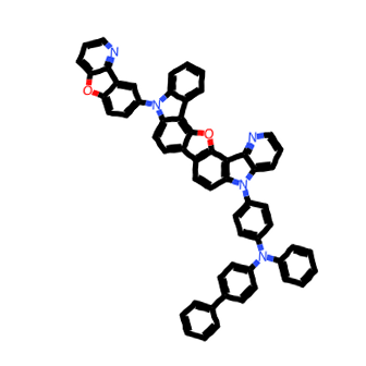 c1ccc(-c2ccc(N(c3ccccc3)c3ccc(-n4c5cccnc5c5c6oc7c(ccc8c7c7ccccc7n8-c7ccc8oc9cccnc9c8c7)c6ccc54)cc3)cc2)cc1